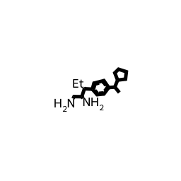 CCC(c1ccc(C(C)C2CCCC2)cc1)C(N)CN